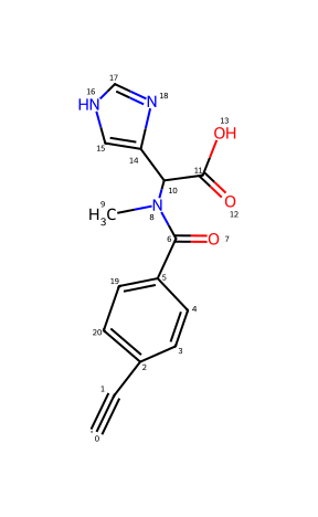 [C]#Cc1ccc(C(=O)N(C)C(C(=O)O)c2c[nH]cn2)cc1